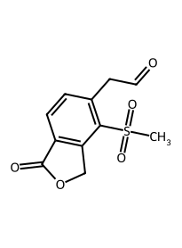 CS(=O)(=O)c1c(CC=O)ccc2c1COC2=O